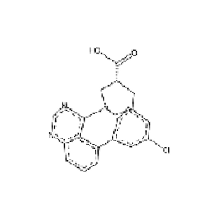 O=C(O)[C@@H]1CCCN(c2ncnc3cccc(-c4cccc(Cl)c4)c23)C1